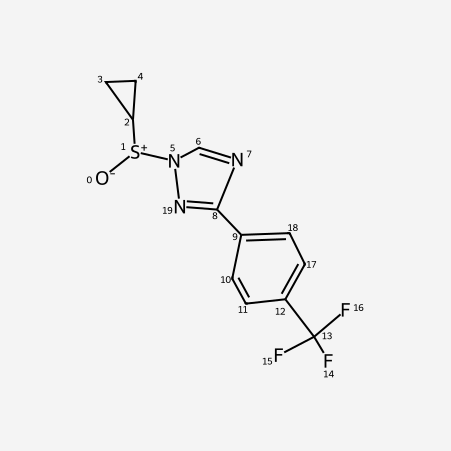 [O-][S+](C1CC1)n1cnc(-c2ccc(C(F)(F)F)cc2)n1